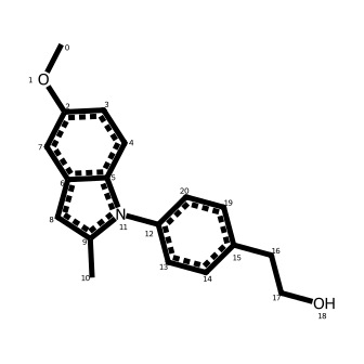 COc1ccc2c(c1)cc(C)n2-c1ccc(CCO)cc1